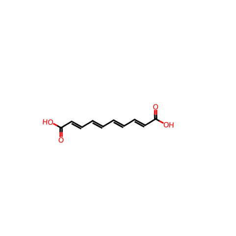 O=C(O)C=CC=CC=C/C=C/C(=O)O